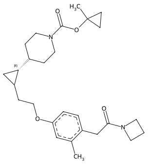 Cc1cc(OCCC2C[C@@H]2C2CCN(C(=O)OC3(C)CC3)CC2)ccc1CC(=O)N1CCC1